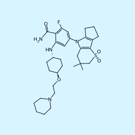 CC1(C)Cc2c(c3c(n2-c2cc(F)c(C(N)=O)c(N[C@H]4CC[C@H](OCCN5CCCCC5)CC4)c2)CCC3)S(=O)(=O)C1